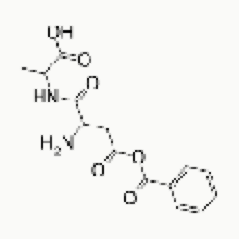 CC(NC(=O)C(N)CC(=O)OC(=O)c1ccccc1)C(=O)O